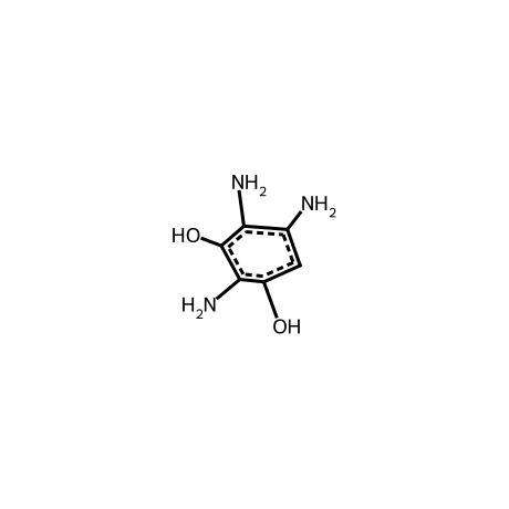 Nc1cc(O)c(N)c(O)c1N